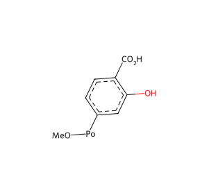 C[O][Po][c]1ccc(C(=O)O)c(O)c1